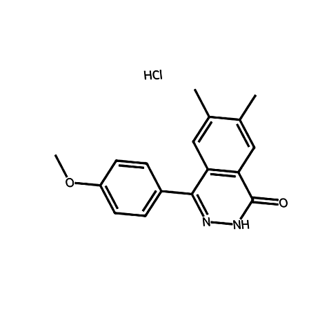 COc1ccc(-c2n[nH]c(=O)c3cc(C)c(C)cc23)cc1.Cl